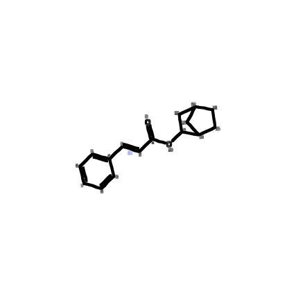 O=C(/C=C/c1ccccc1)OC1CC2CCC1C2